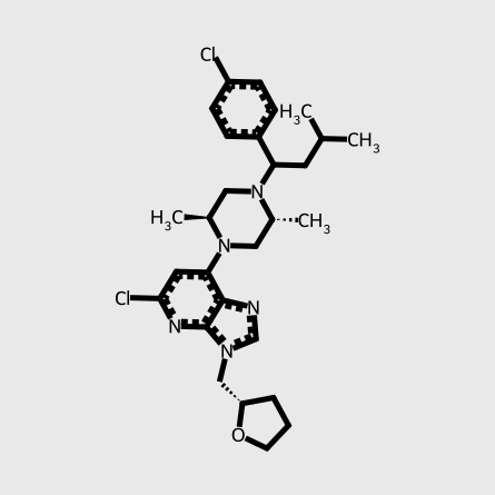 CC(C)CC(c1ccc(Cl)cc1)N1C[C@H](C)N(c2cc(Cl)nc3c2ncn3C[C@@H]2CCCO2)C[C@H]1C